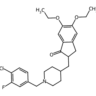 CCOc1cc2c(cc1OCC)C(=O)C(CC1CCN(Cc3ccc(Cl)c(F)c3)CC1)C2